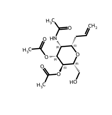 C=CC[C@@H]1O[C@H](CO)[C@@H](OC(C)=O)[C@H](OC(C)=O)[C@@H]1NC(C)=O